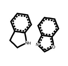 c1ccc2c(c1)CCN2.c1ccc2ocnc2c1